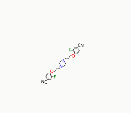 N#Cc1ccc(OCCCN2CCN(CCCOc3ccc(C#N)cc3F)CC2)c(F)c1